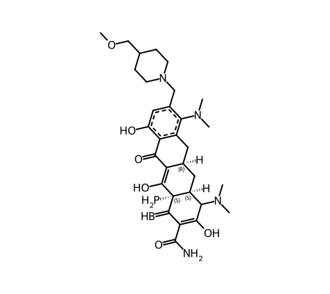 B=C1C(C(N)=O)=C(O)C(N(C)C)[C@@H]2C[C@@H]3Cc4c(c(O)cc(CN5CCC(COC)CC5)c4N(C)C)C(=O)C3=C(O)[C@]12P